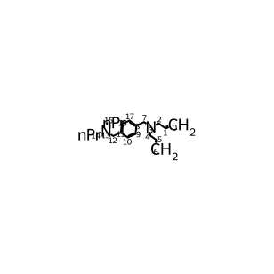 C=CCN(CC=C)Cc1ccc(CN(CCC)CCC)cc1